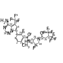 Cc1ccc(-c2cc(C(F)(F)F)c3c(N)ncnn23)c(F)c1C(=O)N[C@@H]1CN(C(=O)CC(C(F)(F)F)C(F)(F)F)C[C@@H]1F